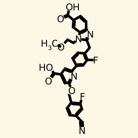 COCCn1c(Cc2ccc(-c3cc(C(=O)O)cc(OCc4ccc(C#N)cc4F)n3)cc2F)nc2ccc(C(=O)O)cc21